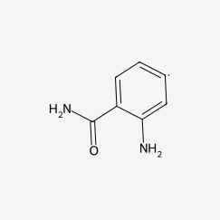 NC(=O)c1cc[c]cc1N